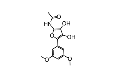 COc1cc(OC)cc(-c2oc(NC(C)=O)c(O)c2O)c1